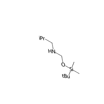 CC(C)CNCO[Si](C)(C)C(C)(C)C